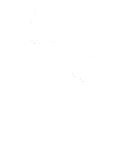 CCC(c1ccccn1)n1ccc(-c2nn(-c3ccc(C(F)(F)F)cc3)c3cccnc23)cc1=O